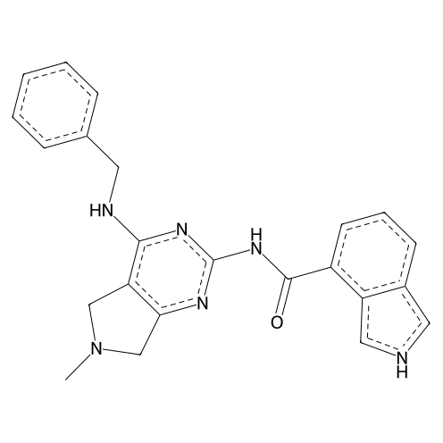 CN1Cc2nc(NC(=O)c3cccc4c[nH]cc34)nc(NCc3ccccc3)c2C1